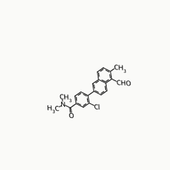 Cc1ccc2cc(-c3ccc(C(=O)N(C)C)cc3Cl)ccc2c1C=O